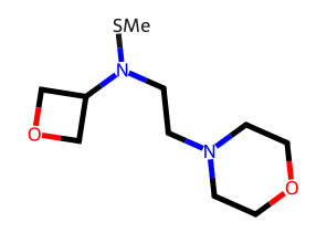 CSN(CCN1CCOCC1)C1COC1